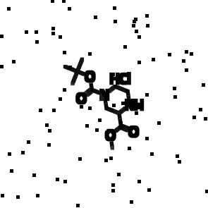 COC(=O)C1CN(C(=O)OC(C)(C)C)CCN1.Cl